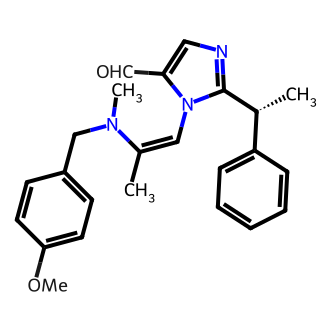 COc1ccc(CN(C)/C(C)=C\n2c(C=O)cnc2[C@H](C)c2ccccc2)cc1